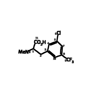 CNC(Cc1cc(Cl)cc(C(F)(F)F)c1)C(=O)O